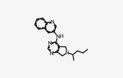 CCCC(C)N1Cc2ncnc(Nc3cnc4ccccc4c3)c2C1